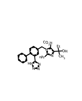 CCCc1nc(C(C)(O)CC)c(C(=O)O)n1Cc1ccc(-c2ccccc2)c(-c2nnn[nH]2)c1